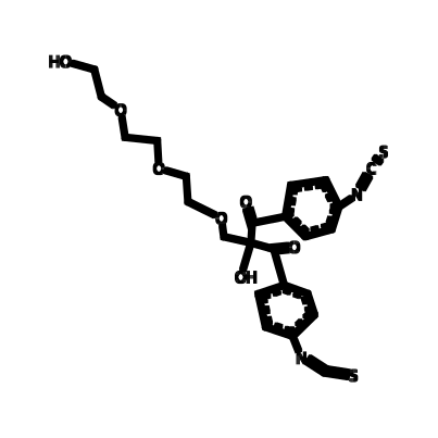 O=C(c1ccc(N=C=S)cc1)C(O)(COCCOCCOCCO)C(=O)c1ccc(N=C=S)cc1